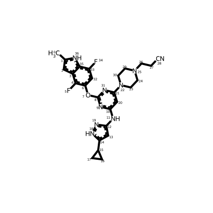 Cc1cc2c(F)c(Oc3nc(Nc4cc(C5CC5)[nH]n4)cc(N4CCN(CCC#N)CC4)n3)cc(F)c2[nH]1